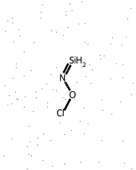 [SiH2]=NOCl